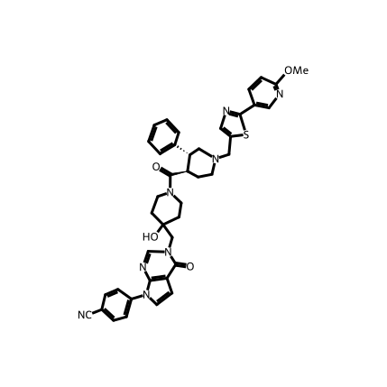 COc1ccc(-c2ncc(CN3CC[C@@H](C(=O)N4CCC(O)(Cn5cnc6c(ccn6-c6ccc(C#N)cc6)c5=O)CC4)[C@H](c4ccccc4)C3)s2)cn1